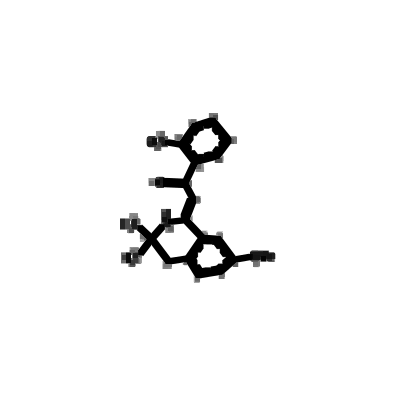 COc1ccc2c(c1)C(=CC(=O)c1ccccc1[N+](=O)[O-])NC(C)(C)C2